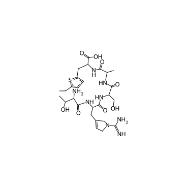 CCc1ccc(CC(NC(=O)C(C)NC(=O)C(CO)NC(=O)C(CC2=CCN(C(=N)N)C2)NC(=O)C(N)C(C)O)C(=O)O)s1